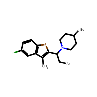 CCCCC1CCN(C(CC(C)=O)c2sc3ccc(F)cc3c2C)CC1